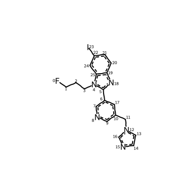 FCCCn1c(-c2cncc(Cn3ccnc3)c2)nc2ccc(I)cc21